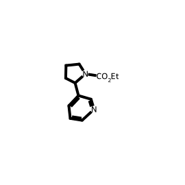 CCOC(=O)N1CCCC1c1cccnc1